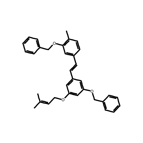 CC(C)=CCOc1cc(/C=C/c2ccc(C)c(OCc3ccccc3)c2)cc(OCc2ccccc2)c1